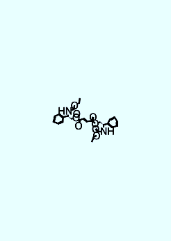 CCOC(=O)N[C@H](COC(=O)/C=C/C(=O)OC[C@@H](NC(=O)OCC)c1ccccc1)c1ccccc1